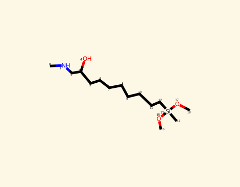 CNCC(O)CCCCCCCC[Si](C)(OC)OC